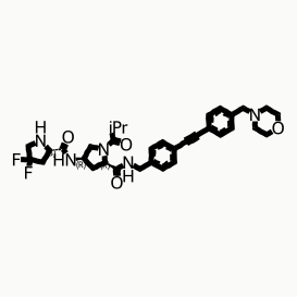 CC(C)C(=O)N1C[C@H](NC(=O)[C@@H]2CC(F)(F)CN2)C[C@@H]1C(=O)NCc1ccc(C#Cc2ccc(CN3CCOCC3)cc2)cc1